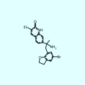 CCc1cc2ccc(C(C)(N)Cc3cc(Br)cc4c3OCC4)cc2[nH]c1=O